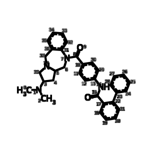 CN(C)C1CC2CN(C(=O)c3ccc(NC(=O)c4ccccc4-c4ccccc4)cc3)c3ccccc3CN2C1